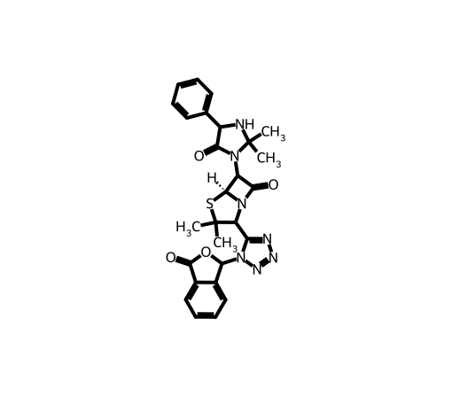 CC1(C)S[C@H]2C(N3C(=O)C(c4ccccc4)NC3(C)C)C(=O)N2C1c1nnnn1C1OC(=O)c2ccccc21